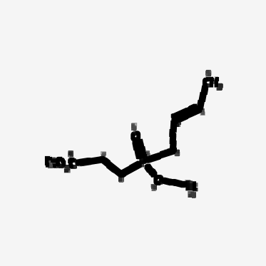 CC=CCP(=O)(CCC(=O)OCC)OCC